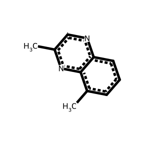 Cc1[c]nc2cccc(C)c2n1